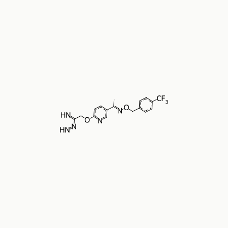 C/C(=N\OCc1ccc(C(F)(F)F)cc1)c1ccc(OCC(=N)N=N)nc1